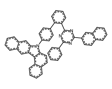 c1ccc(-c2nc(-c3ccc4ccccc4c3)nc(-c3ccccc3-c3ccc(-n4c5cc6ccccc6cc5c5c6ccccc6ccc54)cc3)n2)cc1